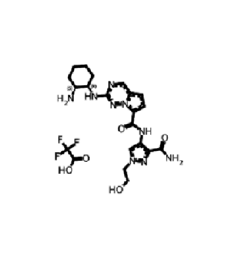 NC(=O)c1nn(CCO)cc1NC(=O)c1ccc2cnc(N[C@@H]3CCCC[C@@H]3N)nn12.O=C(O)C(F)(F)F